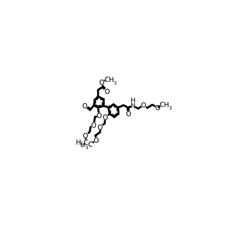 COCCOCNC(=O)Cc1ccc(OCOCCOC)c(-c2cc(CC(=O)OC)cc(C=O)c2OCOCCOC)c1